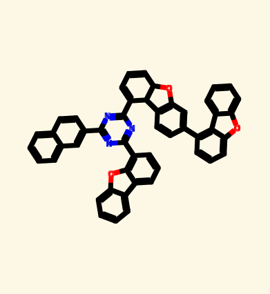 C1=CC2Oc3cc(-c4cccc5oc6ccccc6c45)ccc3C2C(c2nc(-c3ccc4ccccc4c3)nc(-c3cccc4c3oc3ccccc34)n2)=C1